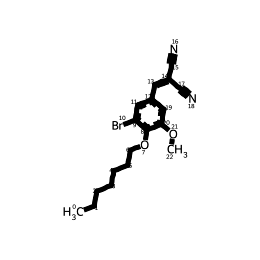 CCCCCCCOc1c(Br)cc(C=C(C#N)C#N)cc1OC